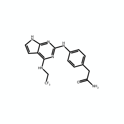 NC(=O)Cc1ccc(Nc2nc(NCC(F)(F)F)c3cc[nH]c3n2)cc1